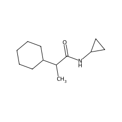 CC(C(=O)NC1CC1)C1CCCCC1